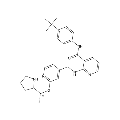 C[C@@H](Oc1cc(CNc2ncccc2C(=O)Nc2ccc(C(C)(C)C)cc2)ccn1)C1CCCN1